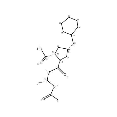 CC(=O)O[C@H](C)OC(=O)N1C[C@@H](CC2CCCCC2)C[C@H]1C(=O)O